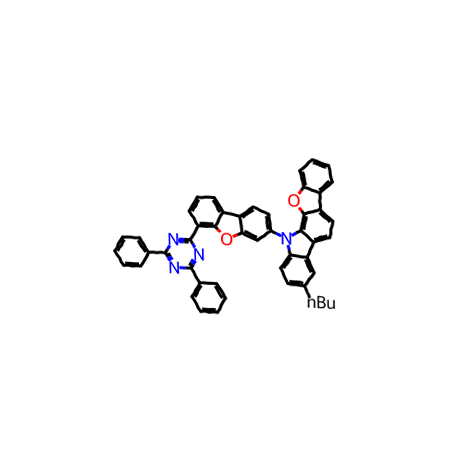 CCCCc1ccc2c(c1)c1ccc3c4ccccc4oc3c1n2-c1ccc2c(c1)oc1c(-c3nc(-c4ccccc4)nc(-c4ccccc4)n3)cccc12